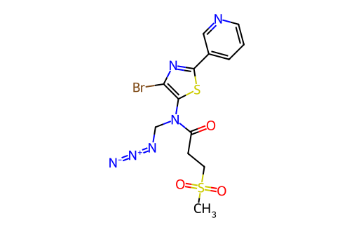 CS(=O)(=O)CCC(=O)N(CN=[N+]=[N-])c1sc(-c2cccnc2)nc1Br